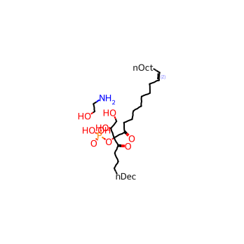 CCCCCCCC/C=C\CCCCCCCC(=O)C(OP(=O)(O)O)(C(=O)CCCCCCCCCCCCC)C(O)CO.NCCO